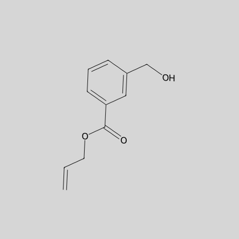 C=CCOC(=O)c1cccc(CO)c1